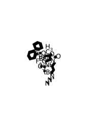 CC[C@@H](O[Si](c1ccccc1)(c1ccccc1)C(C)(C)C)[C@@]1(C)OC(=O)N(CCCCN=[N+]=[N-])[C@@H]1[C@H](N[S+]([O-])C(C)(C)C)C(F)(F)F